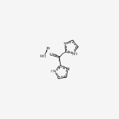 CCO.O=C(c1ncc[nH]1)c1ncc[nH]1